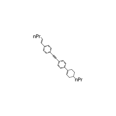 CCCC=Cc1ccc(C#Cc2ccc(C3=CCC(CCC)CC3)cc2)cc1